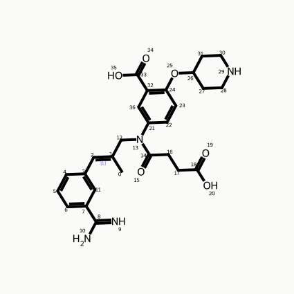 C/C(=C\c1cccc(C(=N)N)c1)CN(C(=O)CCC(=O)O)c1ccc(OC2CCNCC2)c(C(=O)O)c1